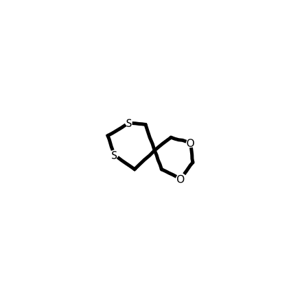 C1OCC2(CO1)CSCSC2